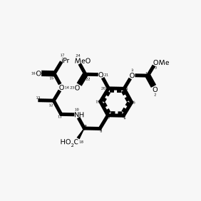 COC(=O)Oc1ccc(C[C@H](NCC(C)OC(=O)C(C)C)C(=O)O)cc1OC(=O)OC